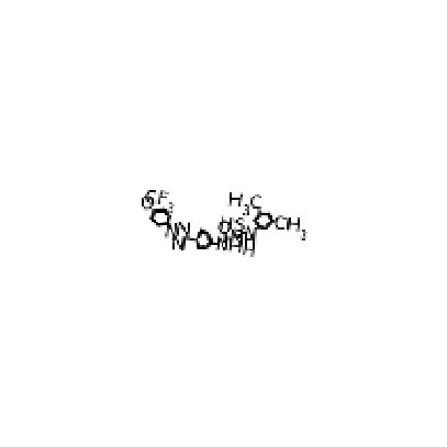 Cc1cc(C)cc(NC(S)NC(=O)Nc2ccc(-c3ncn(-c4ccc(OC(F)(F)F)cc4)n3)cc2)c1